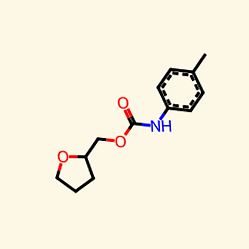 Cc1ccc(NC(=O)OCC2CCCO2)cc1